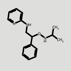 CC(C)NOC(CNc1ccccn1)c1ccccc1